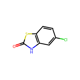 O=c1[nH]c2cc(Cl)[c]cc2s1